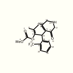 COC(=O)OC1=C(C)NC2=C(C(=O)CNC2)C1c1ccccc1C(F)(F)F